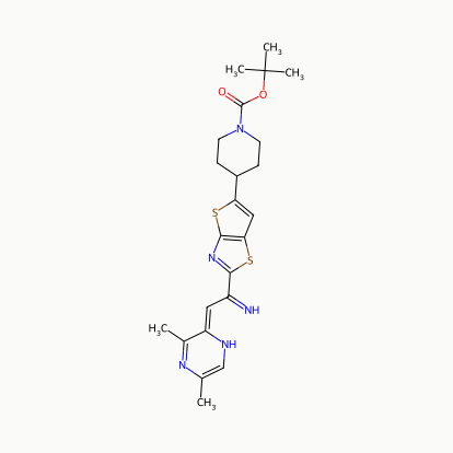 CC1=CN/C(=C\C(=N)c2nc3sc(C4CCN(C(=O)OC(C)(C)C)CC4)cc3s2)C(C)=N1